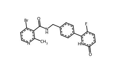 Cc1nccc(Br)c1C(=O)NCc1ccc(-c2[nH]c(=O)ccc2F)cc1